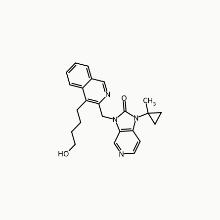 CC1(n2c(=O)n(Cc3ncc4ccccc4c3CCCCO)c3cnccc32)CC1